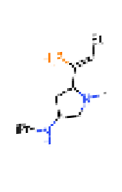 CC/C=C(\P)C1CC(NC(C)C)CN1C